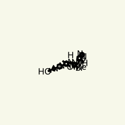 COc1cc(N2CCC(N3CC(C(C)(C)O)C3)CC2)c(C)cc1Nc1ncc(Br)c(Nc2ccc3nccnc3c2P(C)C)n1